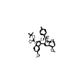 COc1ccc2c(c1)c(-c1cc3c(OC)ccnc3n1S(=O)(=O)c1ccc(C)cc1)cn2C(=O)OC(C)(C)C